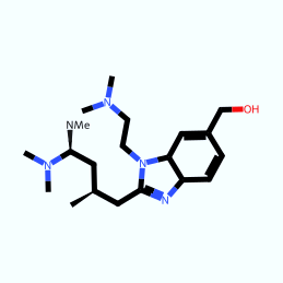 CN[C@@H](C[C@H](C)CC1=NC2C=CC(CO)=CC2N1CCN(C)C)N(C)C